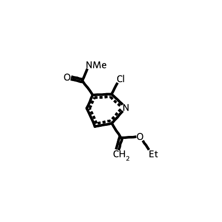 C=C(OCC)c1ccc(C(=O)NC)c(Cl)n1